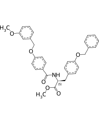 COC(=O)[C@H](Cc1ccc(OCc2ccccc2)cc1)NC(=O)c1ccc(OCc2cccc(OC)c2)cc1